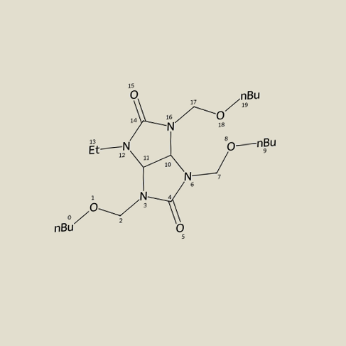 CCCCOCN1C(=O)N(COCCCC)C2C1N(CC)C(=O)N2COCCCC